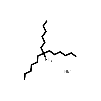 Br.CCCCCCC(N)(CCCCCC)CCCCCC